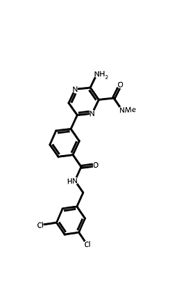 CNC(=O)c1nc(-c2cccc(C(=O)NCc3cc(Cl)cc(Cl)c3)c2)cnc1N